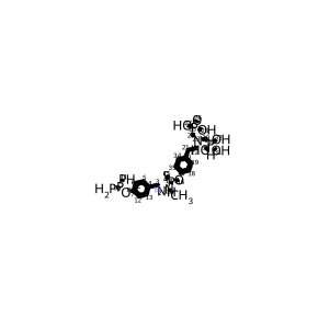 CN(/N=C/c1ccc(OP(P)P)cc1)[PH](=S)Oc1ccc(CCN(CP(=O)(O)O)C[PH](O)(O)O)cc1